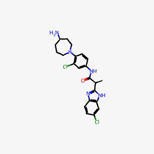 CC(C(=O)Nc1ccc(N2CCCC(N)CC2)c(Cl)c1)c1nc2ccc(Cl)cc2[nH]1